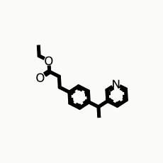 CCOC(=O)CCc1ccc(C(C)c2cccnc2)cc1